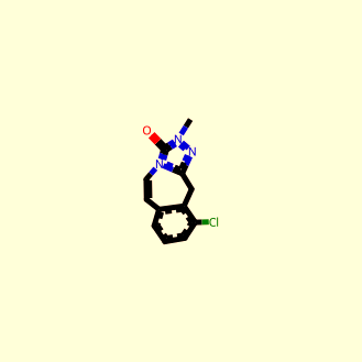 Cn1nc2n(c1=O)C=Cc1cccc(Cl)c1C2